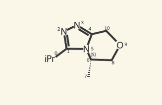 CC(C)c1nnc2n1[C@@H](C)COC2